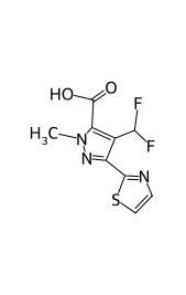 Cn1nc(-c2nccs2)c(C(F)F)c1C(=O)O